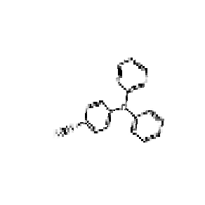 N#[N+]c1ccc(N(c2ccccc2)c2ccccn2)cc1